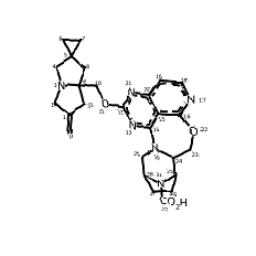 C=C1CN2CC3(CC3)CC2(COc2nc3c4c(nccc4n2)OCC2C4CCC(CN32)N4C(=O)O)C1